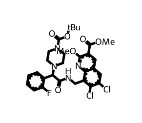 COC(=O)c1cc2cc(Cl)c(Cl)c(CNC(=O)C(c3ccccc3F)N3CCN(C(=O)OC(C)(C)C)CC3)c2nc1OC